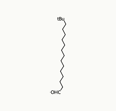 CC(C)(C)CCCCCCCCCCCCC[C]=O